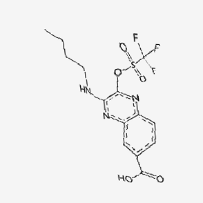 CCCCNc1nc2cc(C(=O)O)ccc2nc1OS(=O)(=O)C(F)(F)F